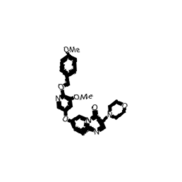 COc1ccc(COc2ncc(Oc3ccc4ncc(N5CCOCC5)c(=O)n4c3)cc2OC)cc1